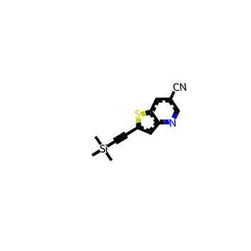 C[Si](C)(C)C#Cc1cc2ncc(C#N)cc2s1